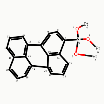 CCO[Si](OCC)(OCC)c1ccc2c3cccc4cccc(c5cccc1c52)c43